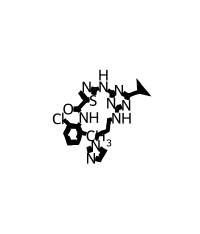 Cc1cccc(Cl)c1NC(=O)c1cnc(Nc2nc(NCCCn3ccnc3)nc(C3CC3)n2)s1